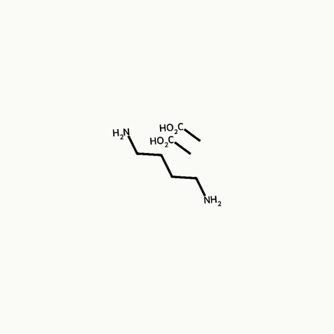 CC(=O)O.CC(=O)O.NCCCCN